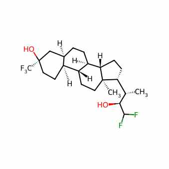 C[C@H]([C@H](O)C(F)F)[C@H]1CC[C@H]2[C@@H]3CC[C@@H]4C[C@@](O)(C(F)(F)F)CC[C@@H]4[C@H]3CC[C@]12C